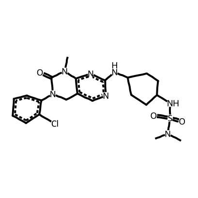 CN1C(=O)N(c2ccccc2Cl)Cc2cnc(NC3CCC(NS(=O)(=O)N(C)C)CC3)nc21